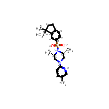 C[C@@H]1CN(c2ccc(C(F)(F)F)cn2)C[C@H](C)N1S(=O)(=O)c1ccc2c(c1)C(C)(C(=O)O)CC2